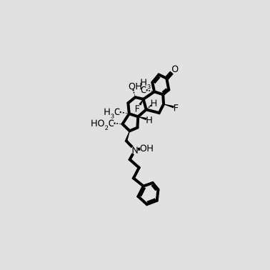 C[C@]12C[C@H](O)[C@@]3(F)[C@@H](C[C@H](F)C4=CC(=O)C=C[C@@]43C)[C@@H]1C[C@@H](CN(O)CCCc1ccccc1)[C@@H]2C(=O)O